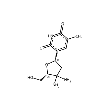 Cc1cn([C@H]2CC(N)(N)[C@@H](CO)O2)c(=O)[nH]c1=O